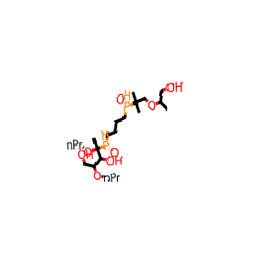 CCCOC(CO)C(O)C(C)(OCCC)[PH](=O)CCCC[PH](=O)C(C)(C)COC(C)CO